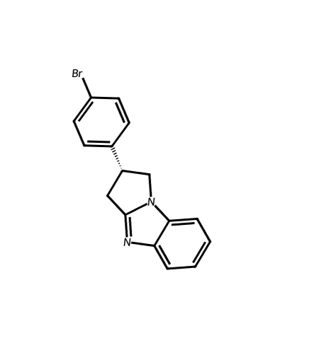 Brc1ccc([C@H]2Cc3nc4ccccc4n3C2)cc1